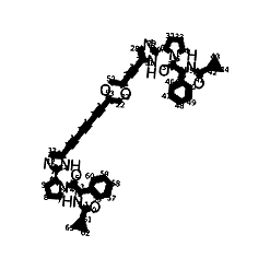 O=C(N[C@@H](C(=O)N1CCC[C@H]1c1ncc(C#CC#CC#CC2COC(C#Cc3cnc([C@@H]4CCCN4C(=O)[C@H](NC(=O)C4CC4)c4ccccc4)[nH]3)CO2)[nH]1)c1ccccc1)C1CC1